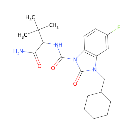 CC(C)(C)C(NC(=O)n1c(=O)n(CC2CCCCC2)c2cc(F)ccc21)C(N)=O